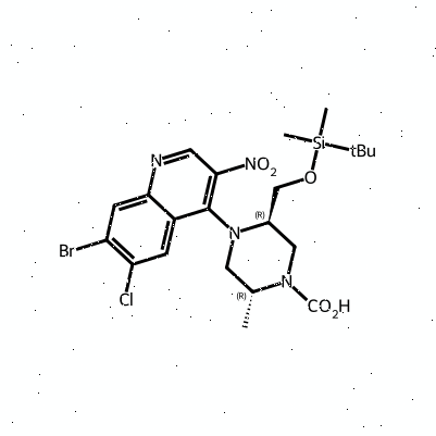 C[C@@H]1CN(c2c([N+](=O)[O-])cnc3cc(Br)c(Cl)cc23)[C@@H](CO[Si](C)(C)C(C)(C)C)CN1C(=O)O